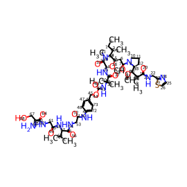 CC[C@H](C)[C@@H]([C@@H](CC(=O)N1CCC[C@H]1[C@H](OC)[C@@H](C)C(=O)NCc1nccs1)OC)N(C)C(=O)CNC(=O)C(C)(C)NC(=O)OCc1ccc(NC(=O)CNC(=O)C(NC(=O)CNC(=O)[C@H](N)CO)C(C)C)cc1